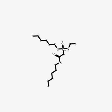 CCCCCCOC(=O)CP(=O)(OCC)OCCCCCC